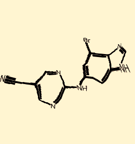 N#Cc1cnc(Nc2cc(Br)c3nc[nH]c3c2)nc1